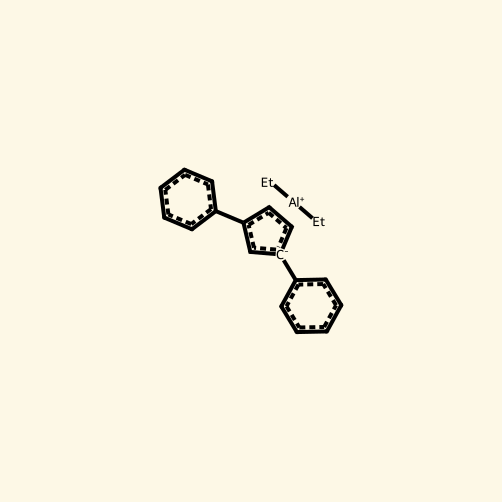 C[CH2][Al+][CH2]C.c1ccc(-c2cc[c-](-c3ccccc3)c2)cc1